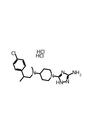 CC(CN(C)C1CCN(c2nc(N)n[nH]2)CC1)c1ccc(Cl)cc1.Cl.Cl